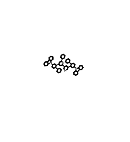 c1ccc(-c2cc(-c3cc(-n4c5ccccc5c5ccccc54)ccc3-c3ccccc3)cc(-c3cncc(-c4cc(-n5c6ccccc6c6ccccc65)ccc4-c4ccccc4)c3)n2)cc1